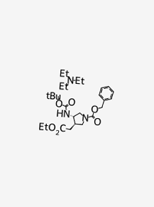 CCN(CC)CC.CCOC(=O)C[C@@H]1CN(C(=O)OCc2ccccc2)C[C@H]1NC(=O)OC(C)(C)C